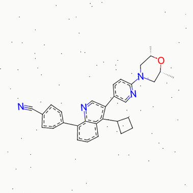 C[C@@H]1CN(c2ccc(-c3cnc4c(-c5ccc(C#N)cc5)cccc4c3C3CCC3)cn2)C[C@H](C)O1